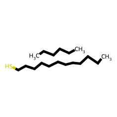 CCCCCC.CCCCCCCCCCCCS